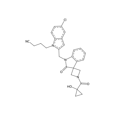 N#CCCCn1c(CN2C(=O)C3(CN(C(=O)C4(O)CC4)C3)c3ccccc32)cc2cc(Cl)ccc21